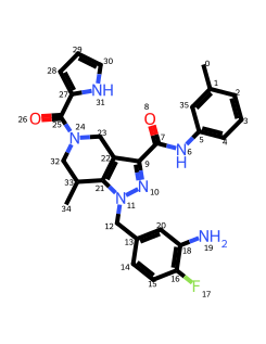 Cc1cccc(NC(=O)c2nn(Cc3ccc(F)c(N)c3)c3c2CN(C(=O)c2ccc[nH]2)CC3C)c1